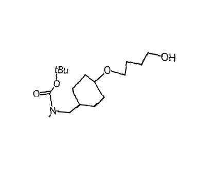 CN(CC1CCC(OCCCCO)CC1)C(=O)OC(C)(C)C